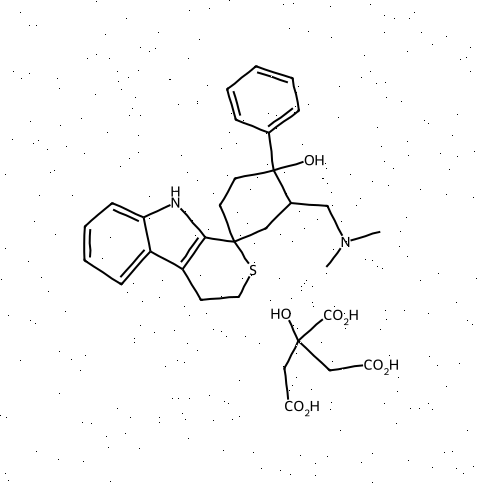 CN(C)CC1CC2(CCC1(O)c1ccccc1)SCCc1c2[nH]c2ccccc12.O=C(O)CC(O)(CC(=O)O)C(=O)O